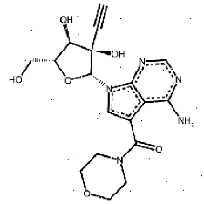 C#C[C@@]1(O)[C@H](O)[C@@H](CO)O[C@H]1n1cc(C(=O)N2CCOCC2)c2c(N)ncnc21